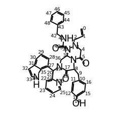 C=CCN1CC(=O)N2C(Cc3ccc(O)cc3)C(=O)N(C(c3ccccn3)c3cccc4cc[nH]c34)CC2N1C(=O)NCc1ccccc1